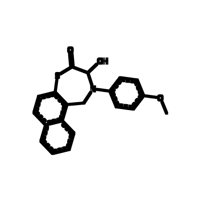 COc1ccc(N2Cc3c(ccc4ccccc34)SC(=O)C2O)cc1